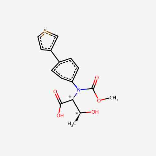 COC(=O)N(c1ccc(-c2ccsc2)cc1)[C@@H](C(=O)O)[C@H](C)O